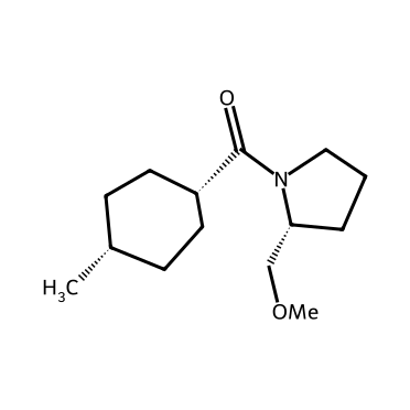 COC[C@H]1CCCN1C(=O)[C@H]1CC[C@@H](C)CC1